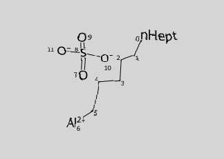 CCCCCCCCCCC[CH2][Al+2].O=S(=O)([O-])[O-]